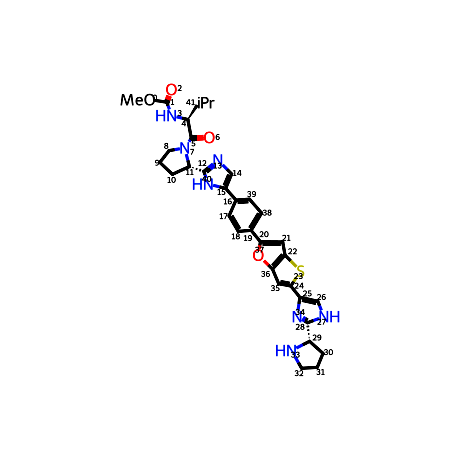 COC(=O)N[C@H](C(=O)N1CCC[C@H]1c1ncc(-c2ccc(-c3cc4sc(-c5c[nH]c([C@@H]6CCCN6)n5)cc4o3)cc2)[nH]1)C(C)C